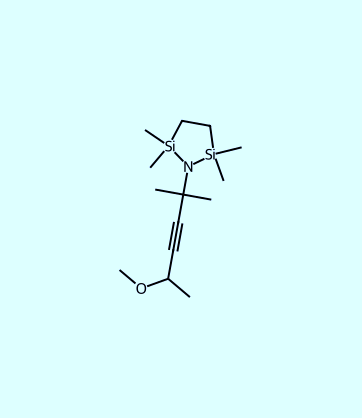 COC(C)C#CC(C)(C)N1[Si](C)(C)CC[Si]1(C)C